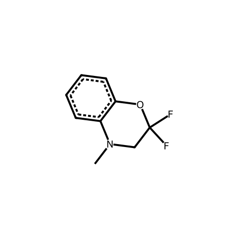 CN1CC(F)(F)Oc2ccccc21